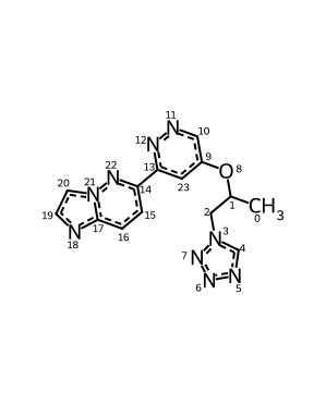 CC(Cn1cnnn1)Oc1cnnc(-c2ccc3nccn3n2)c1